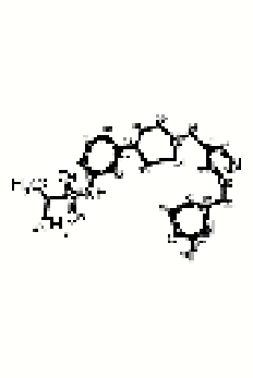 CC(C)S(=O)(=O)Nc1cccc(C2CCN(Cc3cnn(Cc4cccc(F)n4)c3)CC2)c1